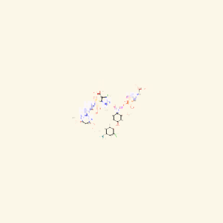 CCOc1cc(Oc2ccc(C(F)(F)F)cc2Cl)ccc1[N+](=O)[O-].COc1cc(OC)nc(NC(=O)NS(=O)(=O)c2c(C(=O)O)c(Cl)nn2C)n1.O=C(O)CNCP(=O)(O)O